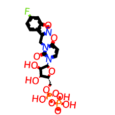 O=c1ccn([C@@H]2O[C@H](COP(=O)(O)OP(=O)(O)O)[C@H](O)C2O)c(=O)n1Cc1noc2cc(F)ccc12